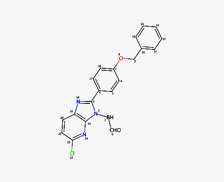 O=CBn1c(-c2ccc(OCc3ccccc3)cc2)nc2ccc(Cl)nc21